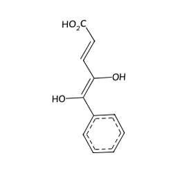 O=C(O)C=CC(O)=C(O)c1ccccc1